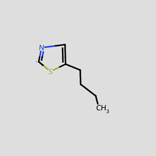 CCCCc1cn[c]s1